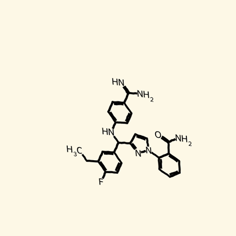 CCc1cc(C(Nc2ccc(C(=N)N)cc2)c2ccn(-c3ccccc3C(N)=O)n2)ccc1F